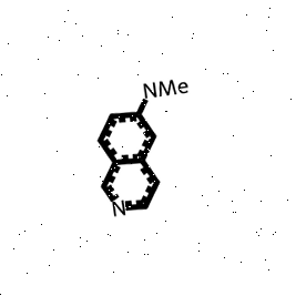 CNc1ccc2cnccc2c1